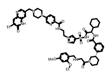 CCOc1cc(OC)ccc1CNCC(=O)N1CCC[C@@H](c2cccc(C(=O)N[C@@H](C(=O)NS(=O)(=O)c3cnn(CCNC(=O)c4ccc(N5CCN(Cc6cnc7cc(CC)c(=O)[nH]c7c6)CC5)cn4)c3)C3CCCCC3)c2)C1